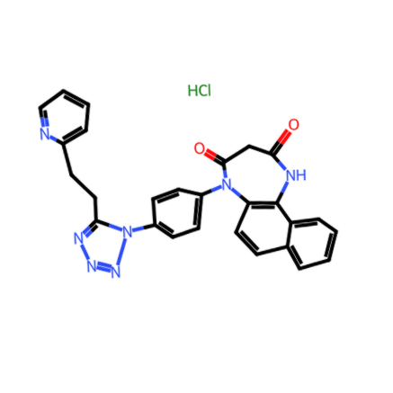 Cl.O=C1CC(=O)N(c2ccc(-n3nnnc3CCc3ccccn3)cc2)c2ccc3ccccc3c2N1